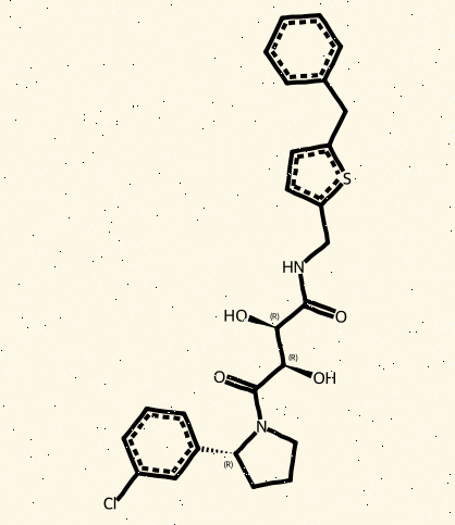 O=C(NCc1ccc(Cc2ccccc2)s1)[C@H](O)[C@@H](O)C(=O)N1CCC[C@@H]1c1cccc(Cl)c1